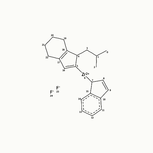 CC(C)CC1[C]([Zr+2][CH]2C=Cc3ccccc32)=CC2=C1CCCC2.[F-].[F-]